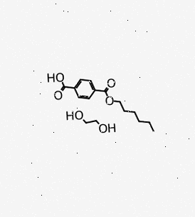 CCCCCCOC(=O)c1ccc(C(=O)O)cc1.OCCO